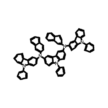 c1ccc(-n2c3ccccc3c3cc(N(c4ccc5ccccc5c4)c4ccc5c(c4)c4cc(N(c6ccc7ccccc7c6)c6ccc7c(c6)c6ccccc6n7-c6ccccc6)ccc4n5-c4ccccc4)ccc32)cc1